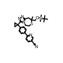 CC1(CO[Si](C)(C)C(C)(C)C)Cc2nnc(C3(c4ccc(-c5ccc(C#N)cn5)cc4)CC3)n2CCS1